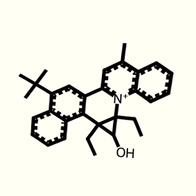 CCC12c3c(cc(C(C)(C)C)c4ccccc34)-c3cc(C)c4ccccc4[n+]3C1(CC)C2O